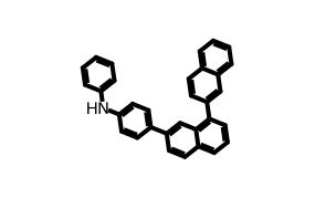 c1ccc(Nc2ccc(-c3ccc4cccc(-c5ccc6ccccc6c5)c4c3)cc2)cc1